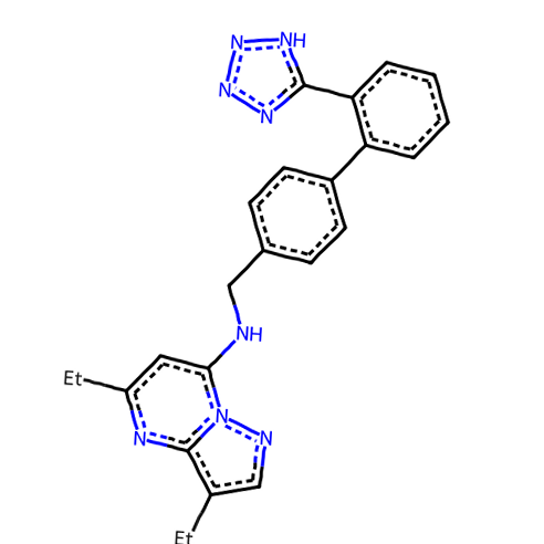 CCc1cc(NCc2ccc(-c3ccccc3-c3nnn[nH]3)cc2)n2ncc(CC)c2n1